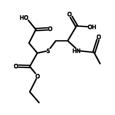 CCOC(=O)C(CC(=O)O)SCC(NC(C)=O)C(=O)O